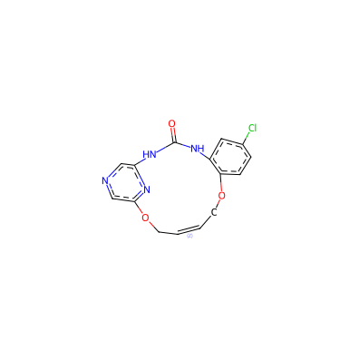 O=C1Nc2cncc(n2)OC/C=C\COc2ccc(Cl)cc2N1